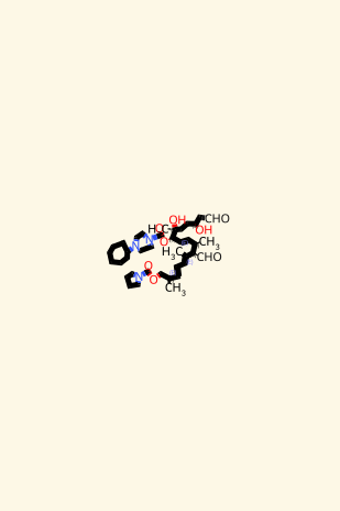 C/C(=C\C=C\[C@@H](C)COC(=O)N1CCCC1)[C@@H](C=O)[C@@H](C)/C=C/[C@H](OC(=O)N1CCN(C2CCCCCC2)CC1)[C@@](C)(O)CC[C@H](O)CC=O